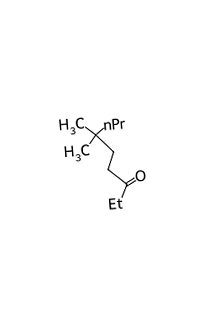 CCCC(C)(C)CCC(=O)CC